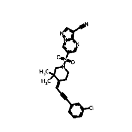 CC1(C)CN(S(=O)(=O)c2cnc3c(C#N)cnn3c2)CC/C1=C\C#Cc1cccc(Cl)c1